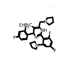 CCOC(=O)C1=C(CN2CCCC2)NC(c2c(F)cc(F)cc2N2CCCC2)=NC1c1ccc(F)cc1Cl